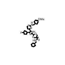 COc1ccc(CNc2nccc(-c3[nH]c(C4OCC(C)(C(=O)NCc5ccccc5)CO4)nc3-c3ccc(F)cc3)n2)cc1